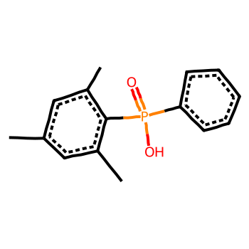 Cc1cc(C)c(P(=O)(O)c2ccccc2)c(C)c1